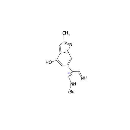 Cc1cc2c(O)cc(/C(C=N)=C/NC(C)(C)C)cn2n1